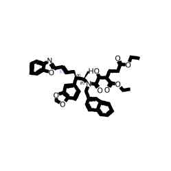 CCOC(=O)CCC(C(=O)OCC)C(O)C(=O)N(Cc1ccc2ccccc2c1)[C@H](C)[C@H](C/C=C/c1nc2ccccc2o1)c1ccc2c(c1)OCO2